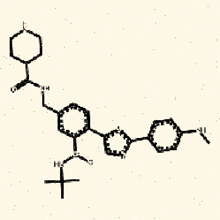 CNc1ccc(-c2ncc(-c3ccc(CNC(=O)C4CCNCC4)cc3[S+]([O-])NC(C)(C)C)s2)cc1